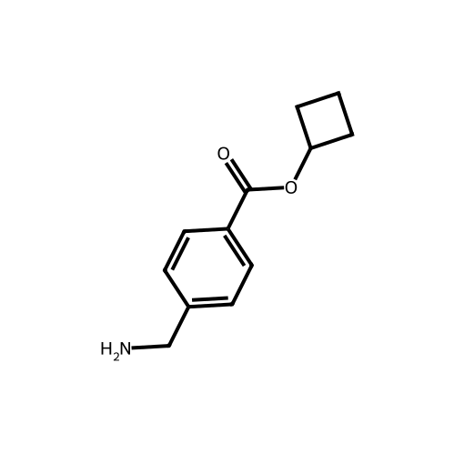 NCc1ccc(C(=O)OC2CCC2)cc1